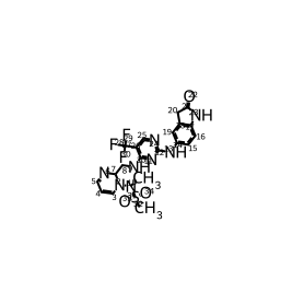 CN(N1C=CC=NC1CNc1nc(Nc2ccc3c(c2)CC(=O)N3)ncc1C(F)(F)F)S(C)(=O)=O